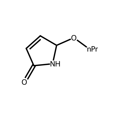 CCCOC1C=CC(=O)N1